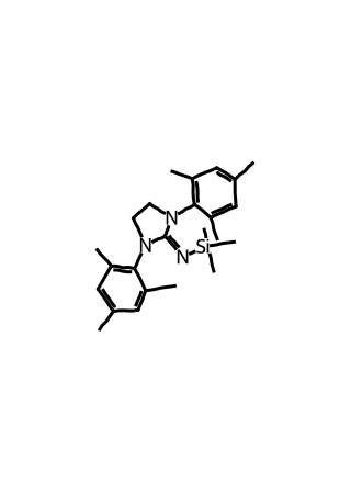 Cc1cc(C)c(N2CCN(c3c(C)cc(C)cc3C)C2=N[Si](C)(C)C)c(C)c1